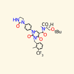 Cc1c(Cn2c(=O)c(C(=O)N(C)C(COC(C)(C)C)C(=O)O)cn(-c3ccc(N4CCNC4=O)cc3)c2=O)cccc1C(F)(F)F